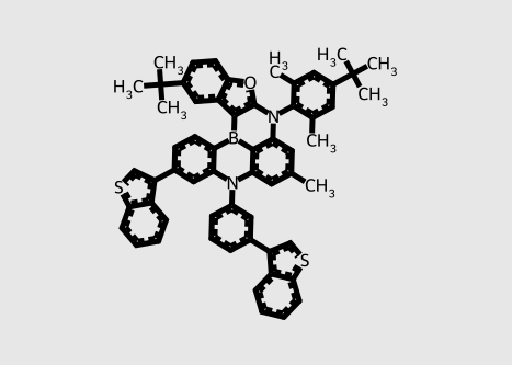 Cc1cc2c3c(c1)N(c1c(C)cc(C(C)(C)C)cc1C)c1oc4ccc(C(C)(C)C)cc4c1B3c1ccc(-c3csc4ccccc34)cc1N2c1cccc(-c2csc3ccccc23)c1